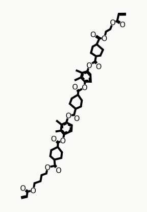 C=CC(=O)OCCCCOC(=O)C1CCC(C(=O)Oc2ccc(OC(=O)C3CCC(C(=O)Oc4ccc(OC(=O)C5CCC(C(=O)OCCOC(=O)C=C)CC5)c(C)c4C)CC3)c(C)c2C)CC1